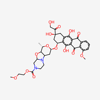 COCCOC(=O)N1CCN2C(C1)OC1C2C[C@H](O[C@H]2C[C@](O)(C(=O)CO)Cc3c(O)c4c(c(O)c32)C(=O)c2c(OC)cccc2C4=O)O[C@H]1C